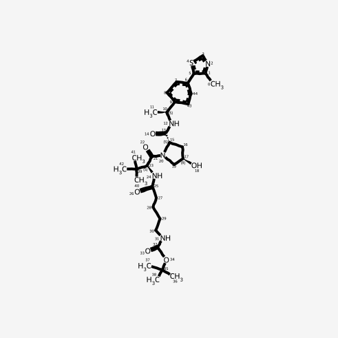 Cc1ncsc1-c1ccc([C@H](C)NC(=O)[C@@H]2C[C@@H](O)CN2C(=O)[C@@H](NC(=O)CCCCNC(=O)OC(C)(C)C)C(C)(C)C)cc1